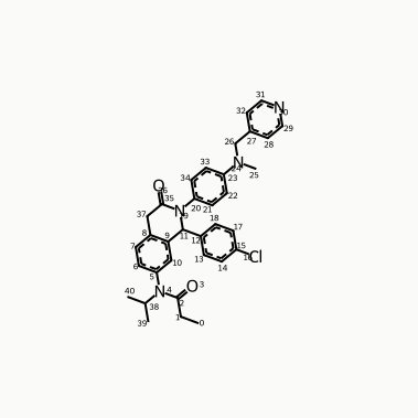 CCC(=O)N(c1ccc2c(c1)C(c1ccc(Cl)cc1)N(c1ccc(N(C)Cc3ccncc3)cc1)C(=O)C2)C(C)C